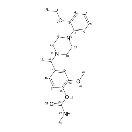 CCOc1ccccc1N1CCN(C(C)c2ccc(OC(=O)NC)c(OC)c2)CC1